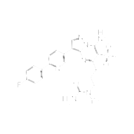 CC(C)N(CCCc1nc2c(-c3ccc(-c4ccc(F)cc4)nc3)cnn2c(N)c1S(C)(=O)=O)C(N)=O